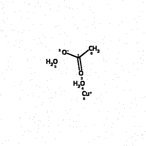 CC(=O)[O-].O.O.[Cu+]